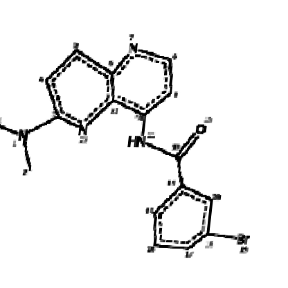 CN(C)c1ccc2nccc(NC(=O)c3cccc(Br)c3)c2n1